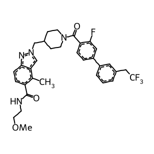 COCCNC(=O)c1ccc2nn(CC3CCN(C(=O)c4ccc(-c5cccc(CC(F)(F)F)c5)cc4F)CC3)cc2c1C